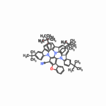 CC(C)(C)c1ccc2c(c1)c1cc(C(C)(C)C)ccc1n2-c1c(-n2c3ccc(C(C)(C)C)cc3c3cc(C(C)(C)C)ccc32)c(-n2c3ccc(C(C)(C)C)cc3c3cc(C(C)(C)C)ccc32)c2c(oc3ccccc32)c1C#N